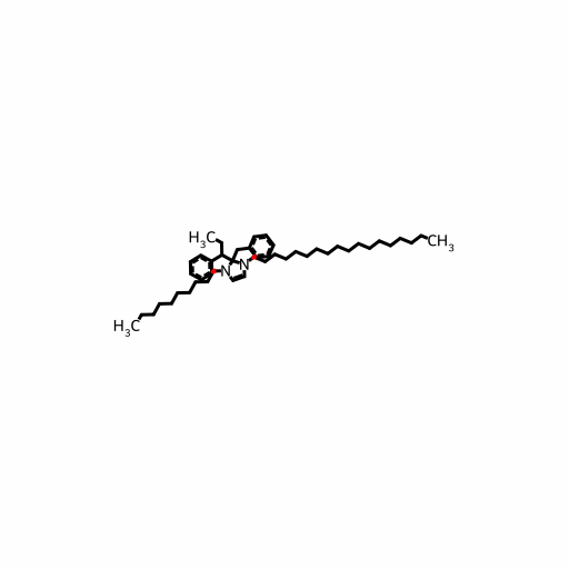 CCCCCCCCCCCCCCCCCCN1C=CN(CCCCCCCCCC)C1(Cc1ccccc1)C(CC)c1ccccc1